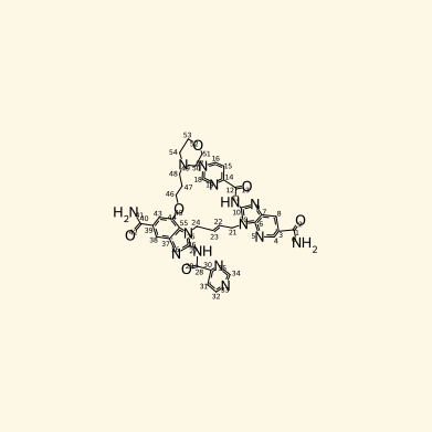 NC(=O)c1cnc2c(c1)nc(NC(=O)c1ccncn1)n2CC=CCn1c(NC(=O)c2ccncn2)nc2cc(C(N)=O)cc(OCCCN3CCOCC3)c21